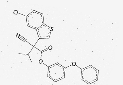 CC(C)C(C#N)(C(=O)Oc1cccc(Oc2ccccc2)c1)c1csc2ccc(Cl)cc12